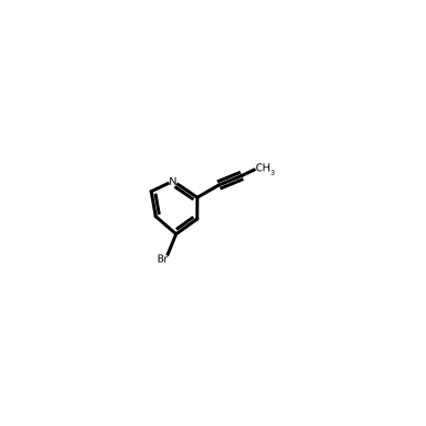 CC#Cc1cc(Br)ccn1